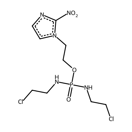 O=[N+]([O-])c1nccn1CCOP(=O)(NCCCl)NCCCl